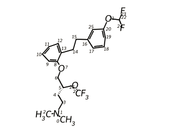 CN(C)CC[C@H](COc1ccccc1CCc1cccc(OC(F)F)c1)OC(F)(F)F